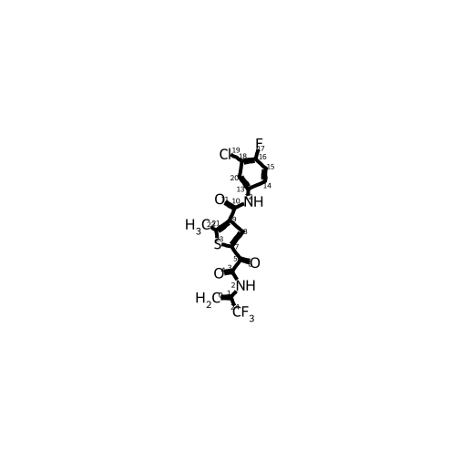 C=C(NC(=O)C(=O)c1cc(C(=O)Nc2ccc(F)c(Cl)c2)c(C)s1)C(F)(F)F